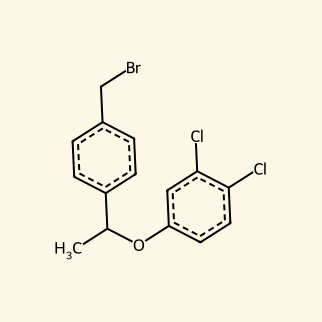 CC(Oc1ccc(Cl)c(Cl)c1)c1ccc(CBr)cc1